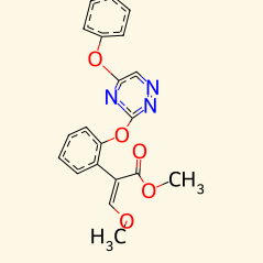 COC=C(C(=O)OC)c1ccccc1Oc1nncc(Oc2ccccc2)n1